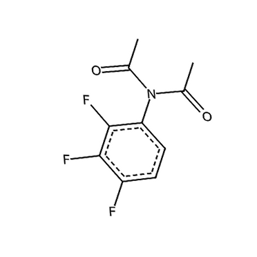 CC(=O)N(C(C)=O)c1ccc(F)c(F)c1F